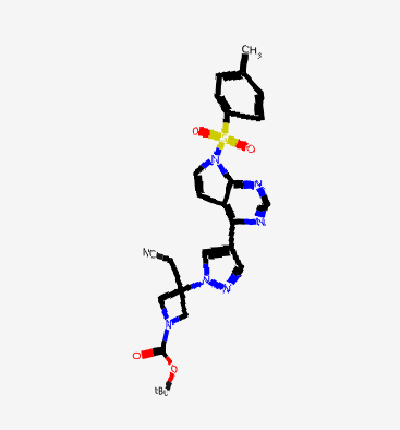 Cc1ccc(S(=O)(=O)n2ccc3c(-c4cnn(C5(CC#N)CN(C(=O)OC(C)(C)C)C5)c4)ncnc32)cc1